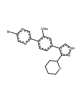 COc1cc(-c2c[nH]nc2C2CCCCO2)ccc1-c1cnc(Br)cn1